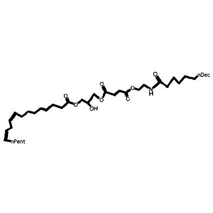 CCCCC/C=C\C/C=C\CCCCCCCC(=O)OCC(O)COC(=O)CCC(=O)OCCNC(=O)CCCCCCCCCCCCCCC